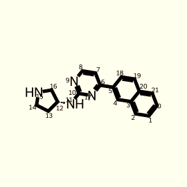 c1ccc2cc(-c3ccnc(N[C@@H]4CCNC4)n3)ccc2c1